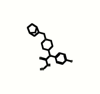 CCCNC(=O)N(c1ccc(F)cc1)C1CCN(CC2CC3CCC2C3)CC1